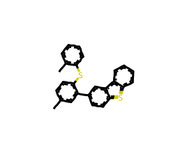 Cc1ccc(Sc2ccccc2C)c(-c2ccc3sc4ccccc4c3c2)c1